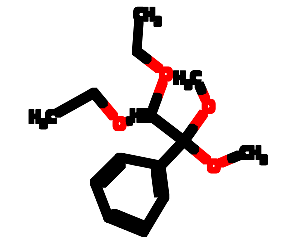 CCO[SiH](OCC)C(OC)(OC)c1ccccc1